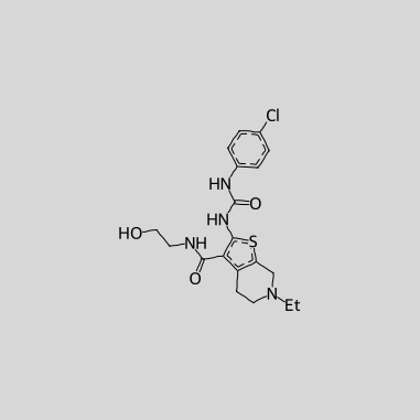 CCN1CCc2c(sc(NC(=O)Nc3ccc(Cl)cc3)c2C(=O)NCCO)C1